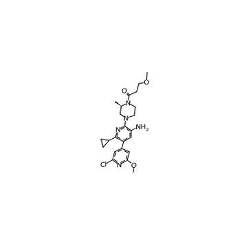 COCCC(=O)N1CCN(c2nc(C3CC3)c(-c3cc(Cl)nc(OC)c3)cc2N)C[C@H]1C